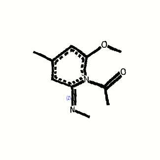 C/N=c1/cc(C)cc(OC)n1C(C)=O